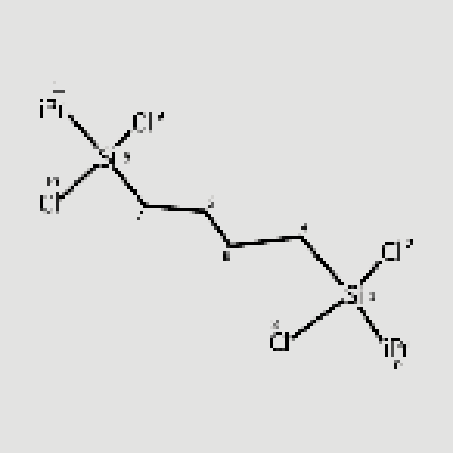 CC(C)[Si](Cl)(Cl)CCCC[Si](Cl)(Cl)C(C)C